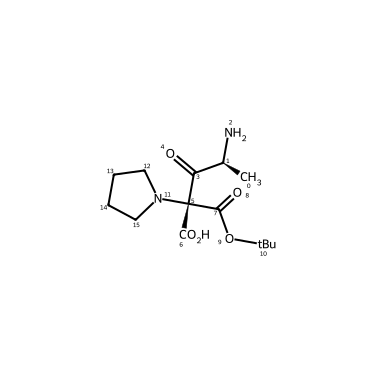 C[C@H](N)C(=O)[C@](C(=O)O)(C(=O)OC(C)(C)C)N1CCCC1